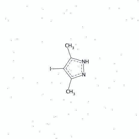 Cc1n[nH]c(C)c1I